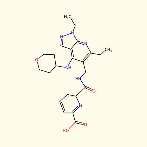 CCc1nc2c(cnn2CC)c(NC2CCOCC2)c1CNC(=O)C1CC=CC(C(=O)O)=N1